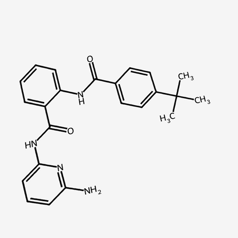 CC(C)(C)c1ccc(C(=O)Nc2ccccc2C(=O)Nc2cccc(N)n2)cc1